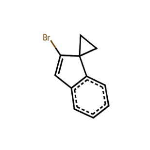 BrC1=Cc2ccccc2C12CC2